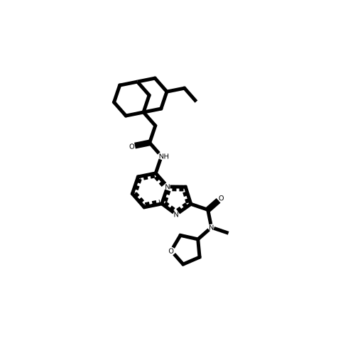 CCC1CC2CCCC(CC(=O)Nc3cccc4nc(C(=O)N(C)C5CCOC5)cn34)(C1)C2